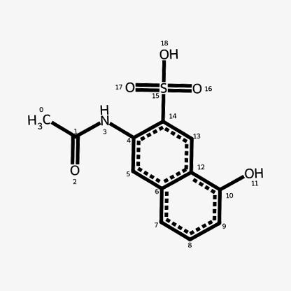 CC(=O)Nc1cc2cccc(O)c2cc1S(=O)(=O)O